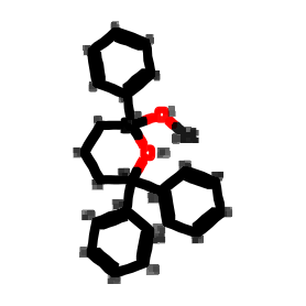 CCO[Si]1(c2ccccc2)CCCC(c2ccccc2)(c2ccccc2)O1